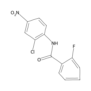 O=C(Nc1ccc([N+](=O)[O-])cc1Cl)c1ccccc1F